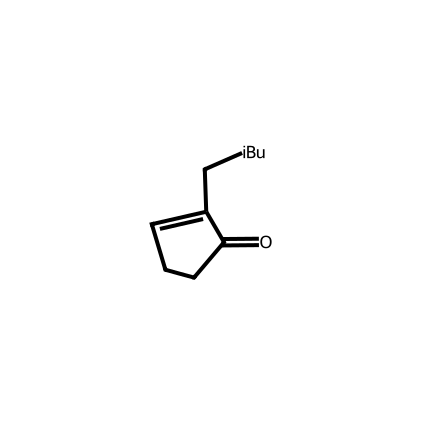 CCC(C)CC1=CCCC1=O